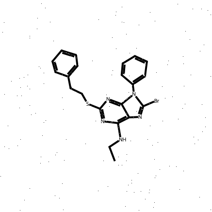 CCNc1nc(SCCc2ccccc2)nc2c1nc(Br)n2-c1ccccc1